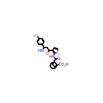 N=C(CC(=O)c1ccsc1NC(=O)C1C2CCC(CC2)C1C(=O)O)c1ccc(Cl)cc1